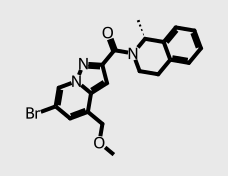 COCc1cc(Br)cn2nc(C(=O)N3CCc4ccccc4[C@H]3C)cc12